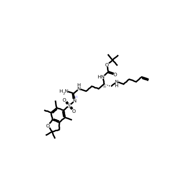 C=CCCCNC[C@H](CCCN/C(N)=N/S(=O)(=O)c1c(C)c(C)c2c(c1C)CC(C)(C)O2)NC(=O)OC(C)(C)C